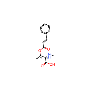 CN[C@H](C(=O)O)[C@@H](C)OC(=O)C=Cc1ccccc1